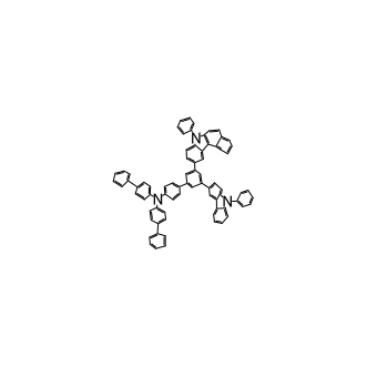 c1ccc(-c2ccc(N(c3ccc(-c4ccccc4)cc3)c3ccc(-c4cc(-c5ccc6c(c5)c5ccccc5n6-c5ccccc5)cc(-c5ccc6c(c5)c5c7ccccc7ccc5n6-c5ccccc5)c4)cc3)cc2)cc1